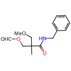 COCC(C)(COC=O)C(=O)NCc1ccccc1